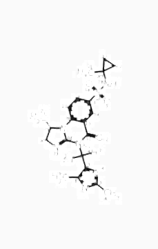 [2H]C([2H])(c1sc(C)nc1C)N1C(=O)c2cc(S(=O)(=O)NC3(C)CC3)ccc2N2C1=NC[C@H]2C